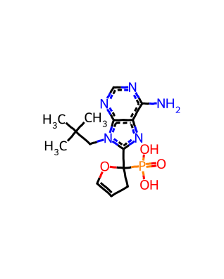 CC(C)(C)Cn1c(C2(P(=O)(O)O)CC=CO2)nc2c(N)ncnc21